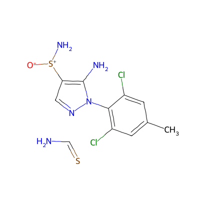 Cc1cc(Cl)c(-n2ncc([S+](N)[O-])c2N)c(Cl)c1.NC=S